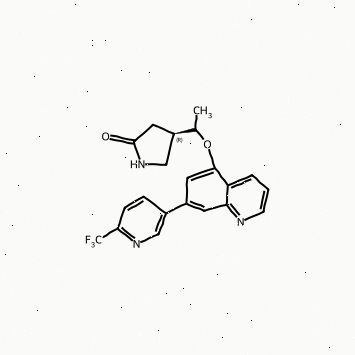 CC(Oc1cc(-c2ccc(C(F)(F)F)nc2)cc2ncccc12)[C@H]1CNC(=O)C1